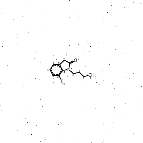 CCCCN1C(=O)Cc2cccc(F)c21